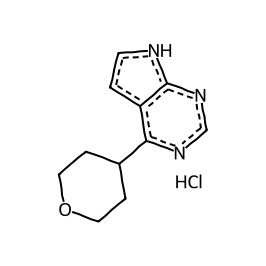 Cl.c1nc(C2CCOCC2)c2cc[nH]c2n1